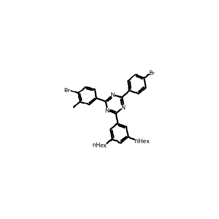 CCCCCCc1cc(CCCCCC)cc(-c2nc(-c3ccc(Br)cc3)nc(-c3ccc(Br)c(C)c3)n2)c1